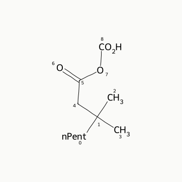 CCCCCC(C)(C)CC(=O)OC(=O)O